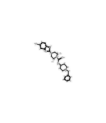 C[C@@H]1CN(c2nc3ccc(F)cc3o2)C[C@H](C)N1C(=O)OC1CCN(Cc2ccccc2)CC1